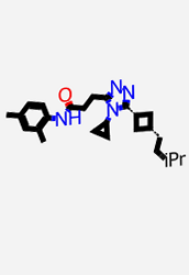 Cc1ccc(NC(=O)CCc2nnc([C@H]3C[C@@H](CCC(C)C)C3)n2C2CC2)c(C)c1